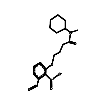 CN(C(=O)CCCOc1cccc(C=O)c1[N+](=O)[O-])C1CCCCC1